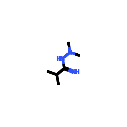 CC(C)C(=N)NN(C)C